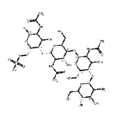 CC(=O)NC1C(O)[C@H](O[C@@H]2OC(CO)[C@@H](O)[C@H](O)C2N)[C@H](CO)O[C@H]1O[C@@H]1C(CO)O[C@@H](O[C@H]2C(O)C(NC(C)=O)[C@H](O)O[C@H]2COS(=O)(=O)O)C(NC(C)=O)[C@H]1O